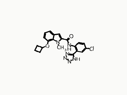 Cn1c(C(=O)Nc2ccc(Cl)cc2-c2nnn[nH]2)cc2cccc(OC3CCC3)c21